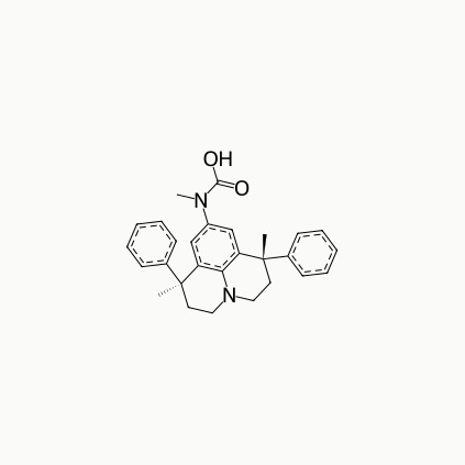 CN(C(=O)O)c1cc2c3c(c1)[C@](C)(c1ccccc1)CCN3CC[C@@]2(C)c1ccccc1